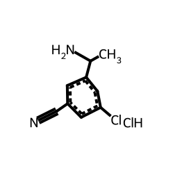 CC(N)c1cc(Cl)cc(C#N)c1.Cl